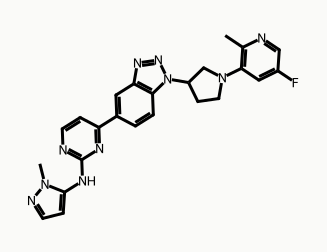 Cc1ncc(F)cc1N1CCC(n2nnc3cc(-c4ccnc(Nc5ccnn5C)n4)ccc32)C1